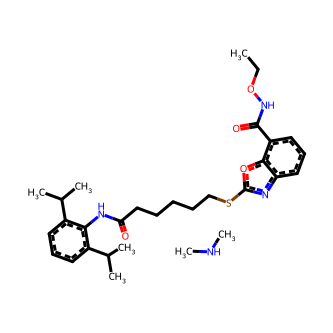 CCONC(=O)c1cccc2nc(SCCCCCC(=O)Nc3c(C(C)C)cccc3C(C)C)oc12.CNC